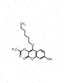 CCCCCCOc1c(OC(C)=O)c(=O)oc2cc(O)ccc12